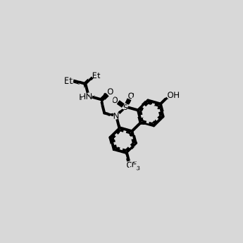 CCC(CC)NC(=O)CN1c2ccc(C(F)(F)F)cc2-c2ccc(O)cc2S1(=O)=O